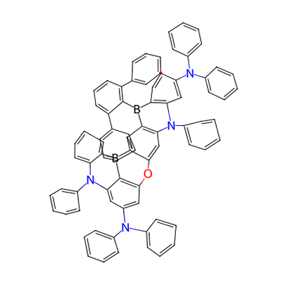 c1ccc(-c2cccc(-c3ccccc3)c2B2c3ccc(N(c4ccccc4)c4ccccc4)cc3N(c3ccccc3)c3cc4c(cc32)B2c3ccccc3N(c3ccccc3)c3cc(N(c5ccccc5)c5ccccc5)cc(c32)O4)cc1